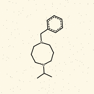 CC(C)N1CCCN(Cc2ccccc2)CCC1